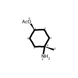 CC(=O)O[C@H]1CC[C@](C)(N)CC1